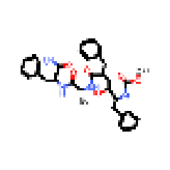 CC[C@H](C)[C@H](NC(=O)C(Cc1ccccc1)CC(O)C(Cc1ccccc1)NC(=O)OC(C)(C)C)C(=O)NC(Cc1ccccc1)C(N)=O